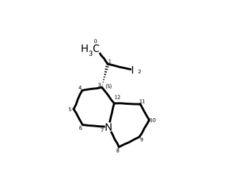 CC(I)[C@H]1CCCN2CCCCC12